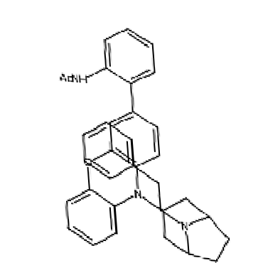 CC(=O)Nc1ccccc1-c1ccc2c(c1)Oc1ccccc1N2C1CC2CCC(C1)N2CCc1ccccc1